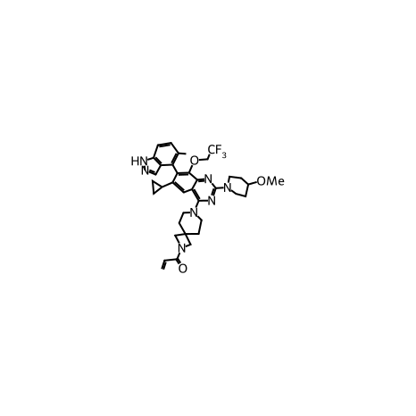 C=CC(=O)N1CC2(CCN(c3nc(N4CCC(OC)CC4)nc4c(OCC(F)(F)F)c(-c5c(C)ccc6[nH]ncc56)c(C5CC5)cc34)CC2)C1